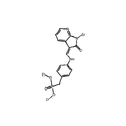 CCOP(=O)(Cc1ccc(NC=C2C(=O)N(CC)c3ncccc32)cc1)OCC